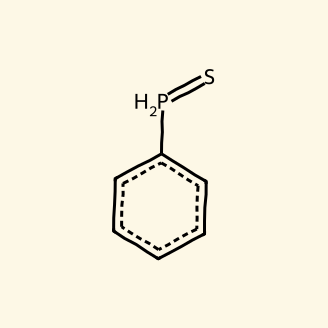 S=[PH2]c1ccccc1